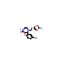 O=C1NCCN(CC[C@H]2CO[C@@H](CF)CO2)c2c1oc1ccc(C(F)(F)F)cc21